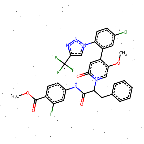 COC(=O)c1ccc(NC(=O)C(Cc2ccccc2)n2cc(OC)c(-c3cc(Cl)ccc3-n3cc(C(F)(F)F)nn3)cc2=O)cc1F